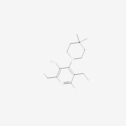 CCc1c(Cl)nc(CO)c(Br)c1N1CCC(C)(C)CC1